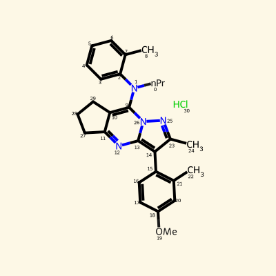 CCCN(c1ccccc1C)c1c2c(nc3c(-c4ccc(OC)cc4C)c(C)nn13)CCC2.Cl